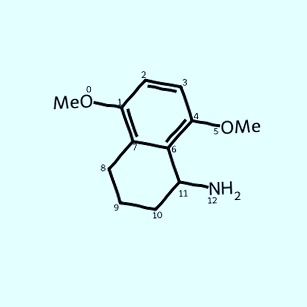 COc1ccc(OC)c2c1CCCC2N